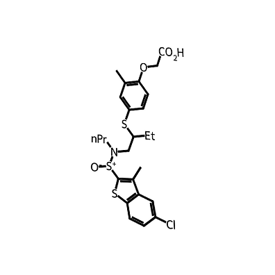 CCCN(CC(CC)Sc1ccc(OCC(=O)O)c(C)c1)[S+]([O-])c1sc2ccc(Cl)cc2c1C